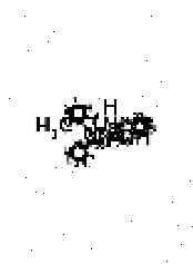 Cc1cccc(Cc2nc(-c3ccccc3)cnc2N[C@@H](Cc2ccccc2)C(=O)O)c1